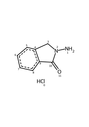 Cl.NN1Cc2ccccc2C1=O